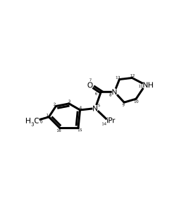 Cc1ccc(N(C(=O)N2CCNCC2)C(C)C)cc1